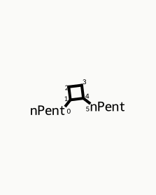 CCCCCC1CCC1CCCCC